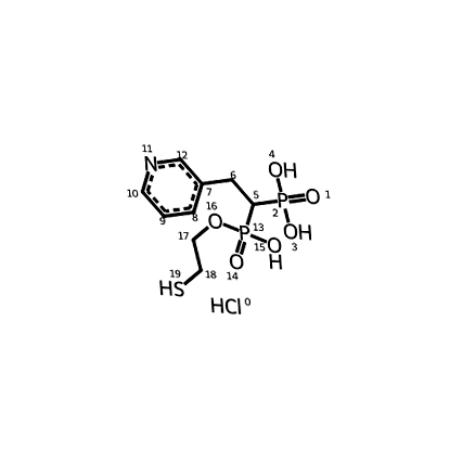 Cl.O=P(O)(O)C(Cc1cccnc1)P(=O)(O)OCCS